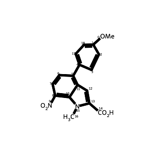 COc1ccc(-c2ccc([N+](=O)[O-])c3c2cc(C(=O)O)n3C)cc1